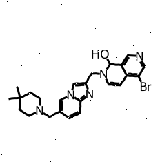 CC1(C)CCN(Cc2ccc3nc(CN4C=Cc5c(Br)cncc5C4O)cn3c2)CC1